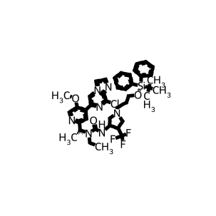 CCN(C(=O)NC1CN(CCCO[Si](c2ccccc2)(c2ccccc2)C(C)(C)C)CC1C(F)(F)F)[C@H](C)c1cc(-c2cn3ccnc3c(Cl)n2)c(OC)cn1